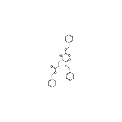 O=C(CC[C@H](NC(=O)OCc1ccccc1)C(=O)OCc1ccccc1)OCc1ccccc1